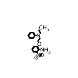 CCCN(CCOc1cccc([N+](=O)[O-])c1N)c1ccccc1